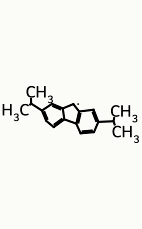 CC(C)c1ccc2c(c1)[CH]c1cc(C(C)C)ccc1-2